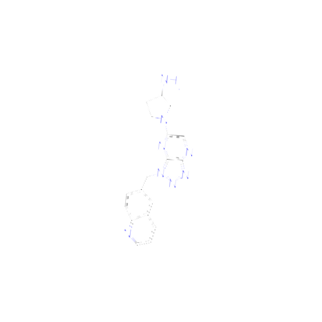 NC1CCN(c2cnc3nnn(Cc4ccc5ncccc5c4)c3n2)C1